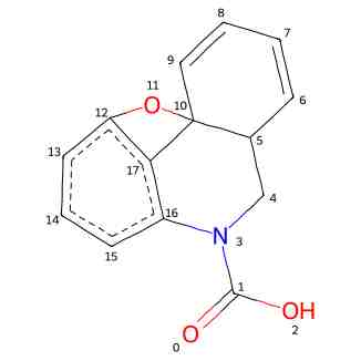 O=C(O)N1CC2C=CC=CC23Oc2cccc1c23